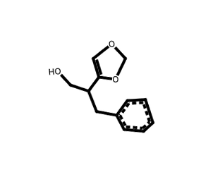 OCC(Cc1ccccc1)C1=COCO1